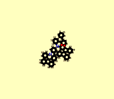 c1ccc(-c2ccccc2-c2ccccc2N(c2ccc3c(c2)C2(c4ccccc4-c4ccccc42)c2ccccc2-3)c2ccc3c(c2)c2cccc4c2n3-c2ccccc2C42c3ccccc3-c3ccccc32)cc1